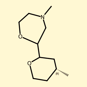 C[C@@H]1CCOC(C2CN(C)CCO2)C1